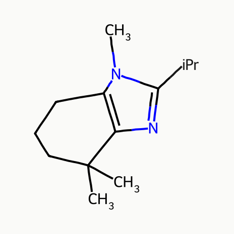 CC(C)c1nc2c(n1C)CCCC2(C)C